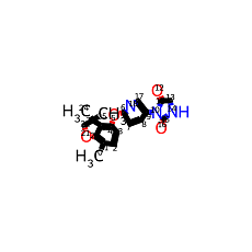 Cc1ccc(Oc2ccc(N3C(=O)CNC3=O)cn2)c2c1OCC2(C)C